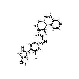 COc1ccccc1C1CCCc2sc(Nc3ccc(-c4nc(C)c[nH]4)c(F)c3)nc21